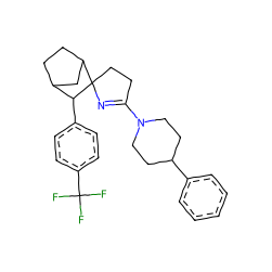 FC(F)(F)c1ccc(C2C3CCC(C3)C23CCC(N2CCC(c4ccccc4)CC2)=N3)cc1